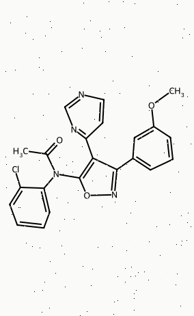 COc1cccc(-c2noc(N(C(C)=O)c3ccccc3Cl)c2-c2ccncn2)c1